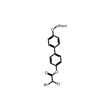 CCCCCOc1ccc(-c2ccc(OC(=O)C(Cl)C(C)C)cc2)cc1